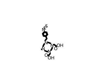 CN1CCN(CCc2ccc(N=C=S)cc2)CCN(CC(=O)O)CCN(CC(=O)O)CC1